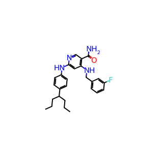 CCCC(CCC)c1ccc(Nc2cc(NCc3cccc(F)c3)c(C(N)=O)cn2)cc1